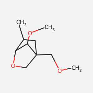 COCC12COC(C(C)C1)C2OC